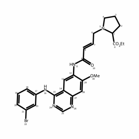 CCOC(=O)C1CCCN1CC=CC(=O)Nc1cc2c(Nc3cccc(Br)c3)ncnc2cc1OC